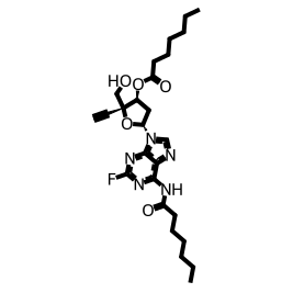 C#C[C@]1(CO)O[C@@H](n2cnc3c(NC(=O)CCCCCC)nc(F)nc32)C[C@@H]1OC(=O)CCCCCC